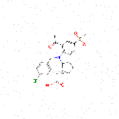 CC(=O)c1cc(S(C)(=O)=O)cc2c1N(Cc1ccc(Cl)cc1)C1C2CC[C@@H]1CC(=O)O